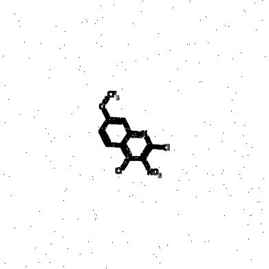 O=[N+]([O-])c1c(Cl)nc2cc(OC(F)(F)F)ccc2c1Cl